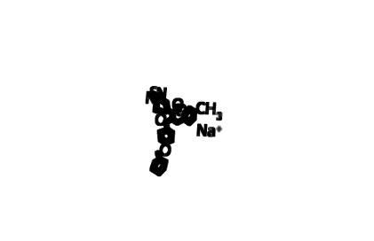 Cc1ccc(CC(C(=O)c2ccc(OCc3ccccc3)cc2)=C(C(=O)[O-])c2ccc3nsnc3c2)cc1.[Na+]